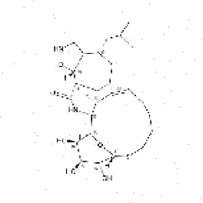 CC(C)C[C@@H]1CCC[C@H](C(=O)N[C@H]2[C@H]3O[C@H](SCCCC/C=C\[C@H]2C)[C@H](O)[C@@H](O)[C@H]3O)[C@@H]2ONCC12